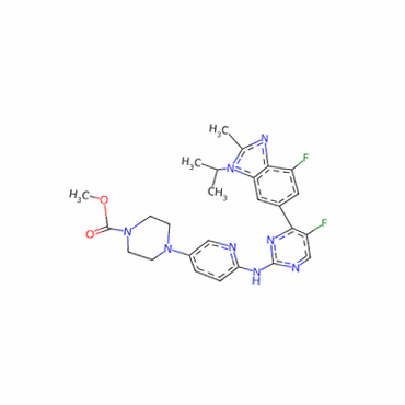 COC(=O)N1CCN(c2ccc(Nc3ncc(F)c(-c4cc(F)c5nc(C)n(C(C)C)c5c4)n3)nc2)CC1